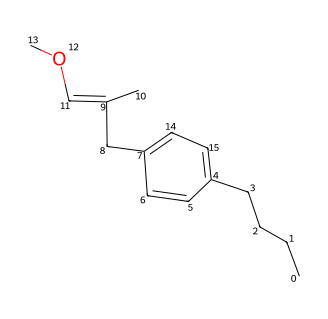 CCCCc1ccc(C/C(C)=C/OC)cc1